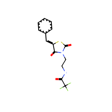 O=C1S/C(=C\c2ccccc2)C(=O)N1CCNC(=O)C(F)(F)F